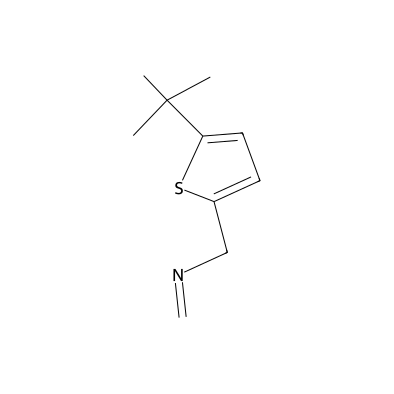 C=NCc1ccc(C(C)(C)C)s1